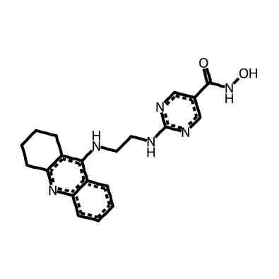 O=C(NO)c1cnc(NCCNc2c3c(nc4ccccc24)CCCC3)nc1